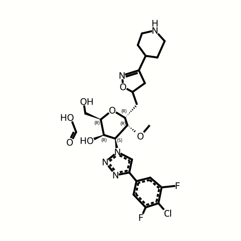 CO[C@@H]1[C@@H](n2cc(-c3cc(F)c(Cl)c(F)c3)nn2)[C@@H](O)[C@@H](CO)O[C@@H]1CC1CC(C2CCNCC2)=NO1.O=CO